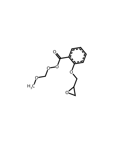 COCOOC(=O)c1ccccc1OCC1CO1